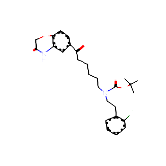 CC(C)(C)OC(=O)N(CCCCCC(=O)c1ccc2c(c1)NC(=O)CO2)CCc1ccccc1Cl